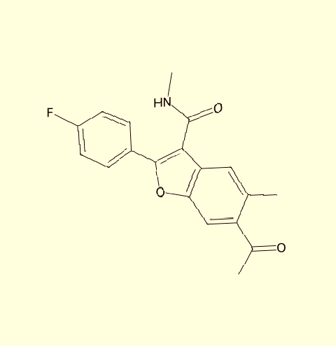 CNC(=O)c1c(-c2ccc(F)cc2)oc2cc(C(C)=O)c(C)cc12